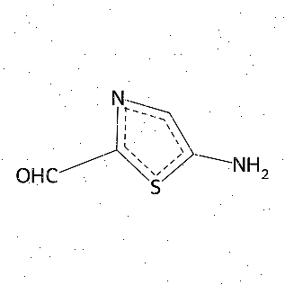 Nc1cnc(C=O)s1